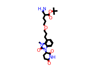 Cn1c(=O)n(C2CCC(=O)NC2=O)c2cccc(CCCOCCCC(CN)C(=O)OC(C)(C)C)c21